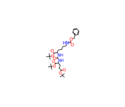 CC(C)(C)OC(=O)CCC(NC(=O)NC(CCCCNC(=O)OCc1ccccc1)C(=O)OC(C)(C)C)C(=O)OC(C)(C)C